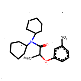 COC(Oc1cccc([N+](=O)[O-])c1)C(=O)N(C1CCCCC1)C1CCCCC1